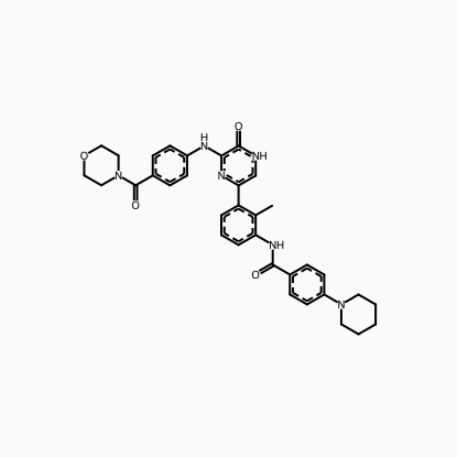 Cc1c(NC(=O)c2ccc(N3CCCCC3)cc2)cccc1-c1c[nH]c(=O)c(Nc2ccc(C(=O)N3CCOCC3)cc2)n1